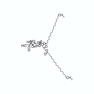 CCCCCCCCCCCCCCCCCC(=O)OC[C@H](COP(=O)(O)OC[C@@H](O)[C@@H](O)[C@H](O)[C@H](O)CO)OC(=O)CCCCCCCCCCCCCCCCC